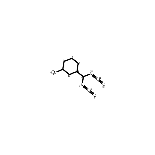 CC1CCCC(C(N=C=O)N=C=O)C1